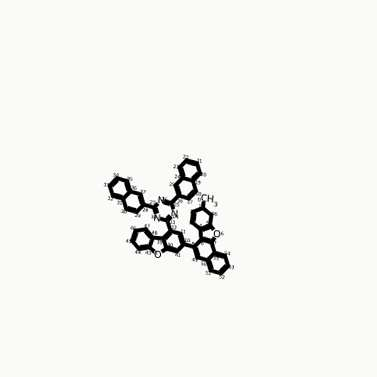 CC1C=Cc2c(oc3c2c(-c2cc(-c4nc(-c5ccc6ccccc6c5)nc(-c5ccc6ccccc6c5)n4)c4c(c2)oc2ccccc24)cc2ccccc23)C1